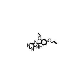 C=CCOc1ccc(-c2nc3cncnc3[nH]2)c(OCC)c1